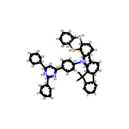 CC1(C)c2ccccc2-c2ccc3c4ccc5c(c4n(-c4ccc(-c6cc(-c7ccccc7)nc(-c7ccccc7)n6)cc4)c3c21)Sc1ccccc1S5